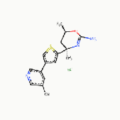 C[C@]1(c2cc(-c3cncc(C#N)c3)cs2)C[C@@H](C(F)(F)F)OC(N)=N1.Cl